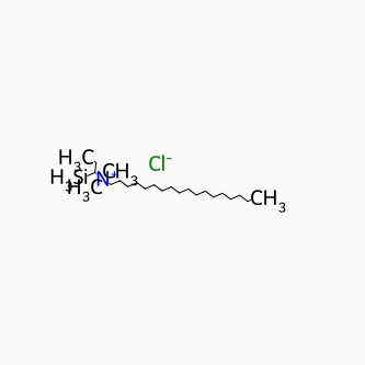 CCCCCCCCCCCCCCCCCC[N+](C)(C)C([SiH3])CC.[Cl-]